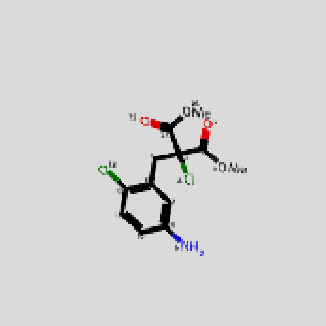 COC(=O)C(Cl)(Cc1cc(N)ccc1Cl)C(=O)OC